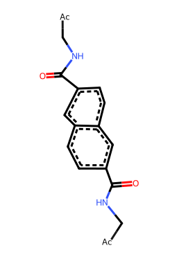 CC(=O)CNC(=O)c1ccc2cc(C(=O)NCC(C)=O)ccc2c1